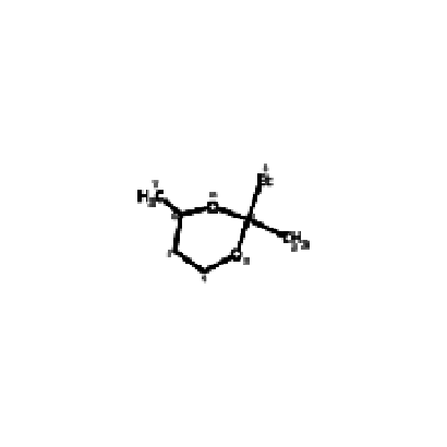 CCC1(C)OCCC(C)O1